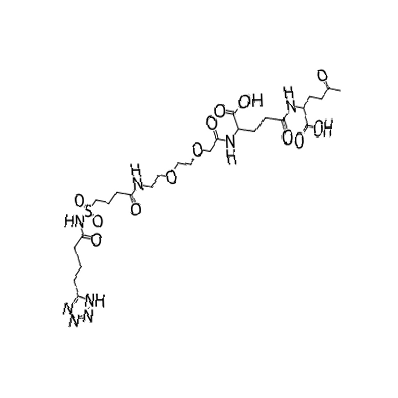 CC(=O)CCC(NC(=O)CCC(NC(=O)COCCOCCNC(=O)CCCS(=O)(=O)NC(=O)CCCc1nnn[nH]1)C(=O)O)C(=O)O